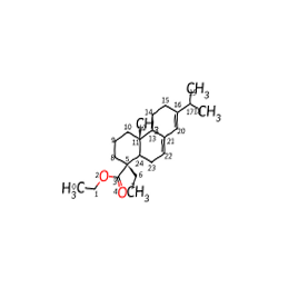 CCOC(=O)[C@]1(CC)CCC[C@]2(C)C3CCC(C(C)C)=CC3=CCC12